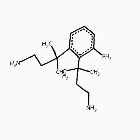 CC(C)(CCN)c1cccc(P)c1C(C)(C)CCN